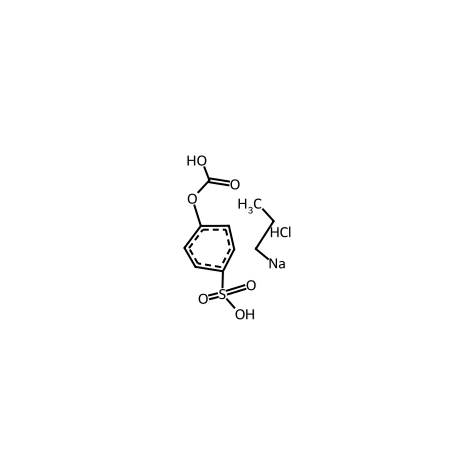 CC[CH2][Na].Cl.O=C(O)Oc1ccc(S(=O)(=O)O)cc1